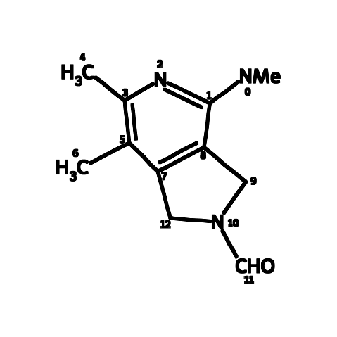 CNc1nc(C)c(C)c2c1CN(C=O)C2